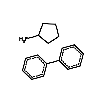 PC1CCCC1.c1ccc(-c2ccccc2)cc1